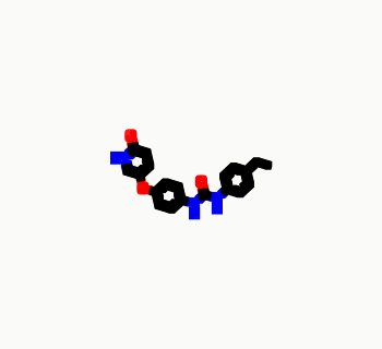 CCc1ccc(NC(=O)Nc2ccc(Oc3ccc(=O)[nH]c3)cc2)cc1